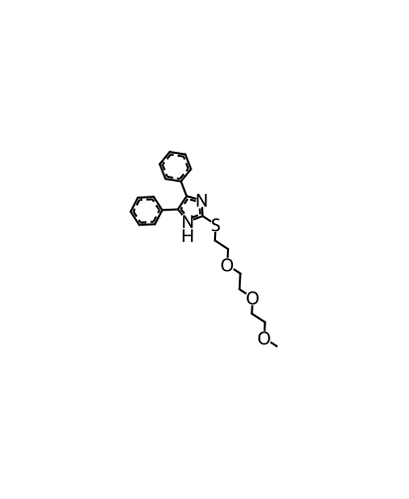 COCCOCCOCCSc1nc(-c2ccccc2)c(-c2ccccc2)[nH]1